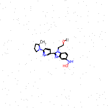 CCOCCn1c(-c2ccc(N3CCC[C@@H]3C)nc2)nc2cc(NO)ccc21